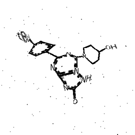 CC(C)(C)c1ccc(-c2nc(N3CCC(O)CC3)n3[nH]c(=O)nc3n2)cc1